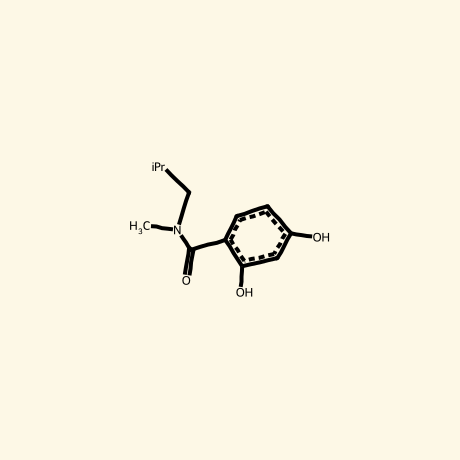 CC(C)CN(C)C(=O)c1ccc(O)cc1O